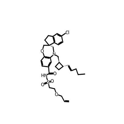 C=CCOCCS(=O)(=O)NC(=O)c1ccc2c(c1)N(C[C@@H]1CC[C@H]1/C=C/CCC)C[C@@]1(CCc3cc(Cl)ccc31)CO2